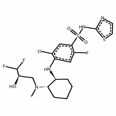 CN(C[C@@H](O)C(F)F)[C@H]1CCCC[C@@H]1Nc1cc(F)c(S(=O)(=O)Nc2nccs2)cc1Cl